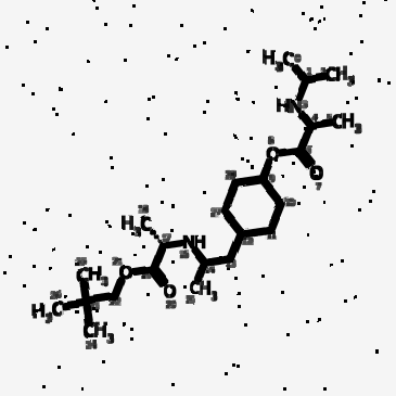 CC(C)NC(C)C(=O)OC1CCC(CC(C)N[C@@H](C)C(=O)OCC(C)(C)C)CC1